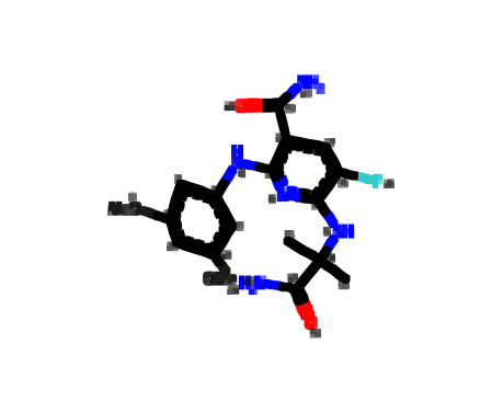 COc1cc(Nc2nc(NC(C)(C)C(N)=O)c(F)cc2C(N)=O)cc(OC)c1